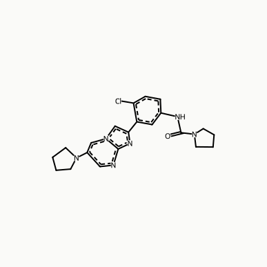 O=C(Nc1ccc(Cl)c(-c2cn3cc(N4CCCC4)cnc3n2)c1)N1CCCC1